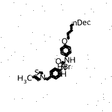 Br.CCCCCCCCCCCCCCOc1ccc(NC(=O)Nc2ccc(CN3C=C(C)SC3)cc2)cc1